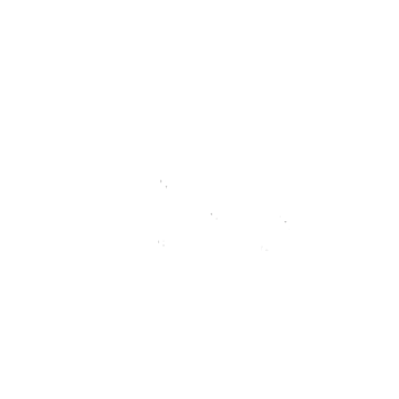 O=C1c2ccccc2CON1Nc1nc(NCc2ccccc2Sc2ccccc2CO)nc2ccccc12